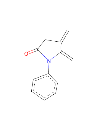 C=C1CC(=O)N(c2ccccc2)C1=C